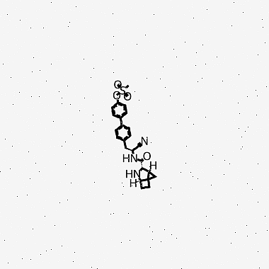 CS(=O)(=O)Oc1ccc(-c2ccc(C[C@@H](C#N)NC(=O)[C@H]3N[C@@H]4CCC45C[C@@H]35)cc2)cc1